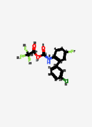 O=C(Nc1ccc(F)cc1-c1cccc(Cl)c1)OC(=O)C(F)(F)F